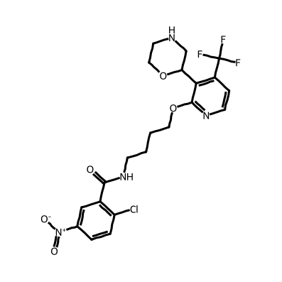 O=C(NCCCCOc1nccc(C(F)(F)F)c1C1CNCCO1)c1cc([N+](=O)[O-])ccc1Cl